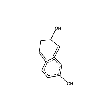 Oc1ccc2c(c1)=CC(O)CC=2